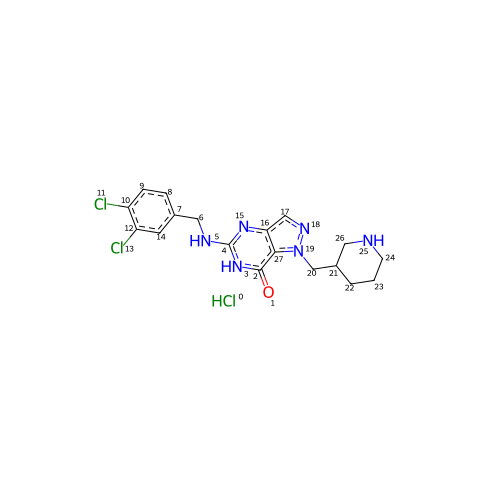 Cl.O=c1[nH]c(NCc2ccc(Cl)c(Cl)c2)nc2cnn(CC3CCCNC3)c12